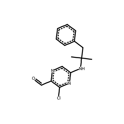 CC(C)(Cc1ccccc1)Nc1cnc(C=O)c(Cl)n1